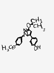 COc1ccc(-n2nc(OC(C)C)cc2-c2ccc(O)cc2)cc1